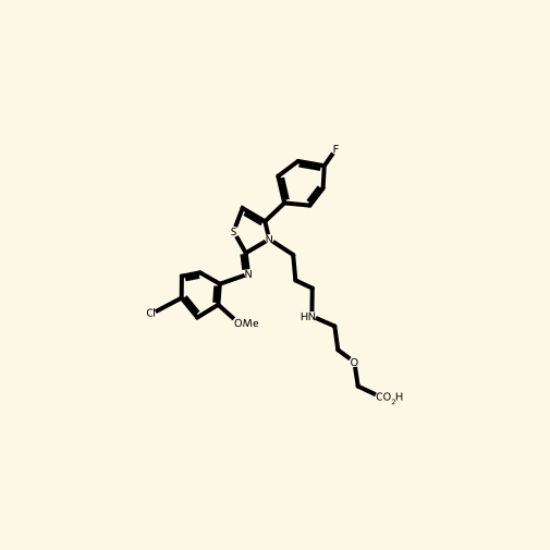 COc1cc(Cl)ccc1N=c1scc(-c2ccc(F)cc2)n1CCCNCCOCC(=O)O